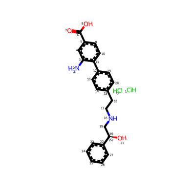 Cl.Cl.Nc1cc(C(=O)O)ccc1-c1ccc(CCNC[C@@H](O)c2ccccc2)cc1